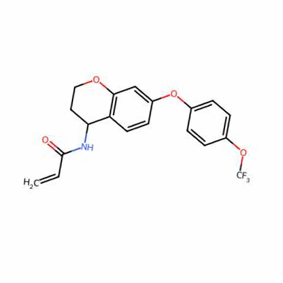 C=CC(=O)NC1CCOc2cc(Oc3ccc(OC(F)(F)F)cc3)ccc21